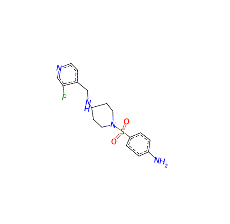 Nc1ccc(S(=O)(=O)N2CCC(NCc3ccncc3F)CC2)cc1